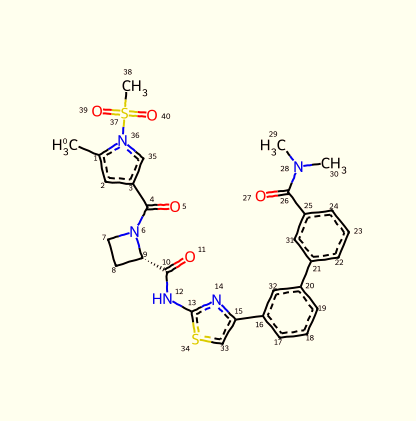 Cc1cc(C(=O)N2CC[C@H]2C(=O)Nc2nc(-c3cccc(-c4cccc(C(=O)N(C)C)c4)c3)cs2)cn1S(C)(=O)=O